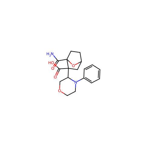 NC(=O)C12CCC(CC1(C(=O)O)C1COCCN1c1ccccc1)O2